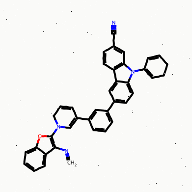 C=Nc1c(N2C=C(c3cccc(-c4ccc5c(c4)c4ccc(C#N)cc4n5C4=CCCC=C4)c3)C=CC2)oc2ccccc12